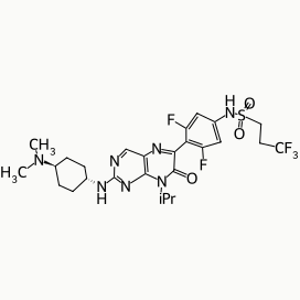 CC(C)n1c(=O)c(-c2c(F)cc(NS(=O)(=O)CCC(F)(F)F)cc2F)nc2cnc(N[C@H]3CC[C@H](N(C)C)CC3)nc21